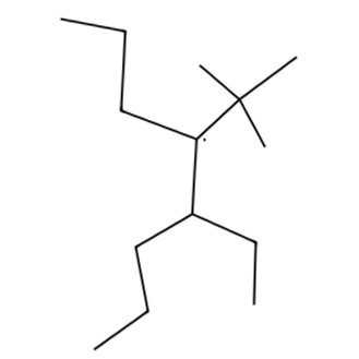 CCC[C](C(CC)CCC)C(C)(C)C